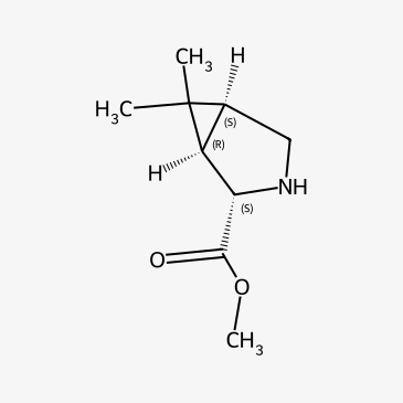 COC(=O)[C@H]1NC[C@H]2[C@@H]1C2(C)C